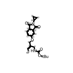 CC(C)(C)OC(=O)NC/C(=C\F)COc1ccc2c(c1)C(=O)N(C1CC1)C2=O